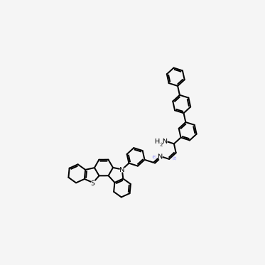 NC(/C=C\N=C\c1cccc(N2C3=C(CCC=C3)C3C4SC5=C(C=CCC5)C4C=CC32)c1)c1cccc(-c2ccc(-c3ccccc3)cc2)c1